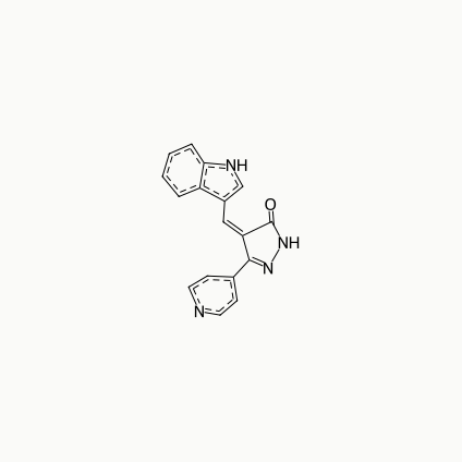 O=C1NN=C(c2ccncc2)/C1=C/c1c[nH]c2ccccc12